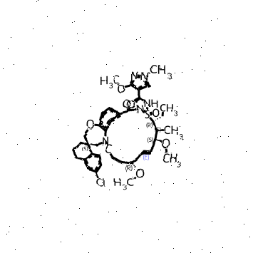 CC[C@@H]1[C@@H](C)[C@@H](OC)/C=C/[C@H](OC)CCCN2C[C@@]3(CCCc4cc(Cl)ccc43)COc3ccc(cc32)C(=O)N=S1(=O)NC(=O)c1cn(C)nc1OC